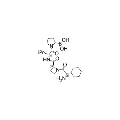 CC(C)[C@H](NC(=O)[C@@H]1CCN1C(=O)[C@@H](N)C1CCCCC1)C(=O)N1CCCC1B(O)O